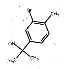 Cc1ccc(C(C)(C)N=O)cc1Br